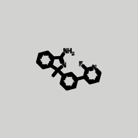 CC1(c2cccc(-c3cccnc3F)c2)N=C(N)c2ccccc21